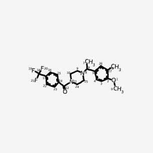 COc1ccc(C(C)N2CCN(C(=O)c3ccc(C(F)(F)F)cc3)CC2)cc1C